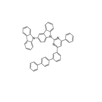 c1ccc(-c2ccc(-c3cccc(-c4cc(-c5ccccc5)nc(-n5c6ccccc6c6cc(-n7c8ccccc8c8ccccc87)ccc65)n4)c3)cc2)cc1